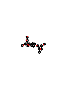 c1ccc(-c2ccc(N(c3ccc(-c4ccc5ccc6c(-c7ccc(N(c8ccc(-c9ccccc9)cc8)c8ccc(-c9ccccc9)cc8-c8ccccc8)cc7)ccc7ccc4c5c76)cc3)c3ccc(-c4ccccc4)cc3-c3ccccc3)cc2)cc1